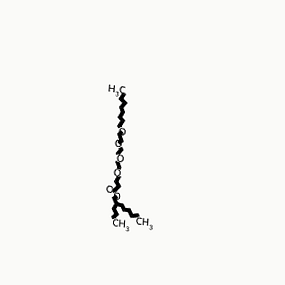 CCCCCCCCCOCCOCCOCCOCCCC(=O)OCC(CCCC)CCCCCC